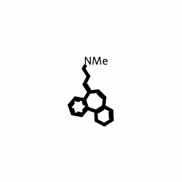 CNCCC=C1C=CC2=C(CCC=C2)c2ccccc21